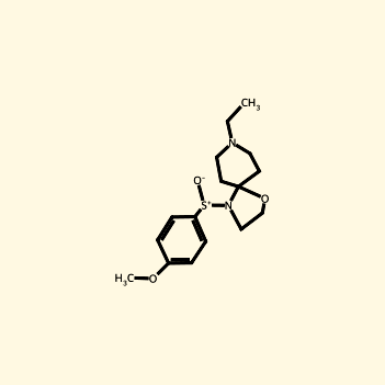 CCN1CCC2(CC1)OCCN2[S+]([O-])c1ccc(OC)cc1